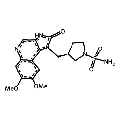 COc1cc2ncc3[nH]c(=O)n(C[C@H]4CCN(S(N)(=O)=O)C4)c3c2cc1OC